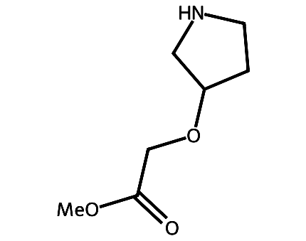 COC(=O)COC1CCNC1